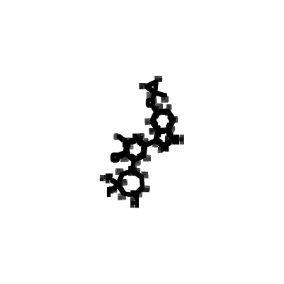 Cn1nc(-c2n[nH]c3ccc(OC4(C)CC4)cc23)cc(N2CCNCC(F)(F)C2)c1=O